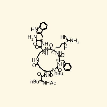 CCCC[C@H](NC(C)=O)C(=O)N[C@H]1CCC(=O)NCC[C@@H](C(=O)N[C@@H](Cc2c[nH]c3ccccc23)C(N)=O)NC(=O)[C@H](CCCNC(=N)N)NC(=O)[C@@H](Cc2ccccc2)NC(=O)N(CCCC)C1=O